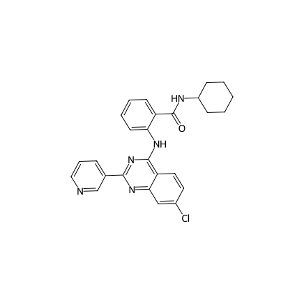 O=C(NC1CCCCC1)c1ccccc1Nc1nc(-c2cccnc2)nc2cc(Cl)ccc12